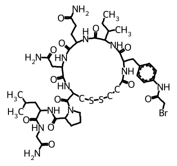 CCC(C)C1NC(=O)C(Cc2ccc(NC(=O)CBr)cc2)NC(=O)CCSSCC(C(=O)N2CCCC2C(=O)NC(CC(C)C)C(=O)NCC(N)=O)NC(=O)C(CC(N)=O)NC(=O)C(CCC(N)=O)NC1=O